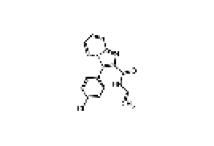 C=CNC(=O)c1nc2cccnn2c1-c1ccc(Cl)cc1